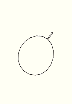 O=C1CCCCCCCCCCCCCCCCC1